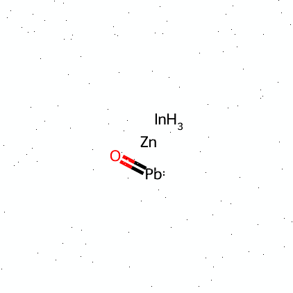 [InH3].[O]=[Pb].[Zn]